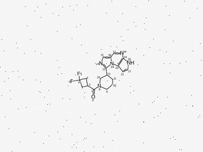 O=C(C1CC(F)(F)C1)N1CCCC(c2ncc3cnc4[nH]ccc4n23)C1